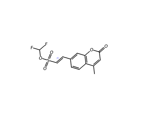 Cc1cc(=O)oc2cc(/C=C/S(=O)(=O)OC(F)F)ccc12